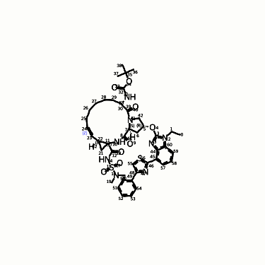 CCn1c(O[C@@H]2C[C@H]3C(=O)N[C@]4(C(=O)NS(=O)(=O)N(C)C)C[C@H]4/C=C\CCCCC[C@H](NC(=O)OC(C)(C)C)C(=O)N3C2)nc2c(-c3nc(-c4ccccc4)cs3)cccc21